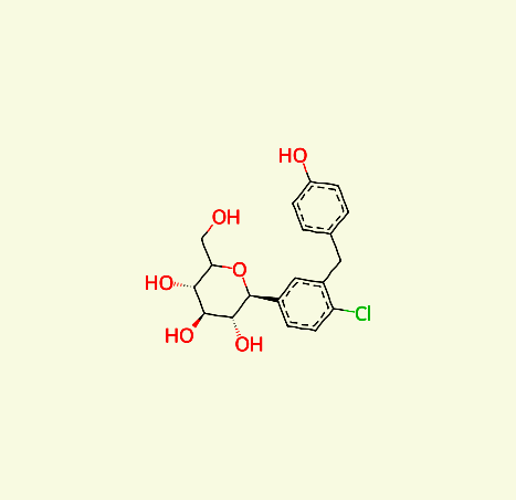 OCC1O[C@@H](c2ccc(Cl)c(Cc3ccc(O)cc3)c2)[C@H](O)[C@@H](O)[C@@H]1O